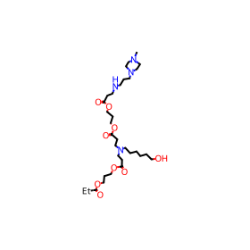 CCC(=O)OCCCOC(=O)CCN(CCCCCCO)CCC(=O)OCCCOC(=O)CCNCCCN1CCN(C)CC1